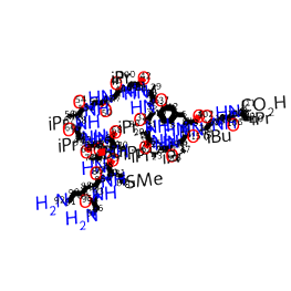 CC[C@H](C)[C@H](NC(=O)[C@H](Cc1ccccc1)NC(=O)[C@H](CC(C)C)NC(=O)[C@H](CC(C)C)NC(=O)[C@H](CC(C)C)NC(=O)CNC(=O)[C@H](C)NC(=O)[C@@H](NC(=O)CNC(=O)CNC(=O)[C@H](CC(C)C)NC(=O)[C@@H](NC(=O)[C@@H](NC(=O)[C@H](CC(C)C)NC(=O)[C@H](C)NC(=O)[C@H](CCSC)NC(=O)[C@H](CCCCN)NC(=O)CN)[C@@H](C)CC)C(C)C)C(C)C)C(=O)NCC(=O)N[C@@H](CC(C)C)C(=O)O